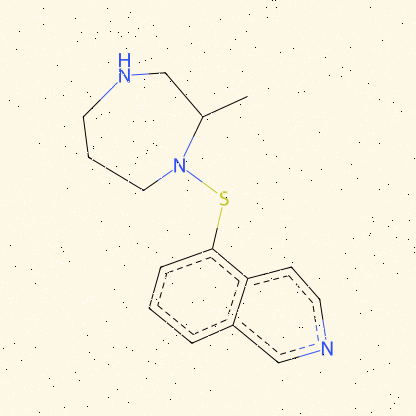 CC1CNCCCN1Sc1cccc2cnccc12